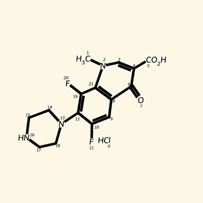 Cl.Cn1cc(C(=O)O)c(=O)c2cc(F)c(N3CCNCC3)c(F)c21